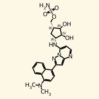 CN(C)c1ccc(-c2cc3nccc(N[C@@H]4C[C@H](COS(N)(=O)=O)[C@@H](O)[C@H]4O)n3n2)c2ccccc12